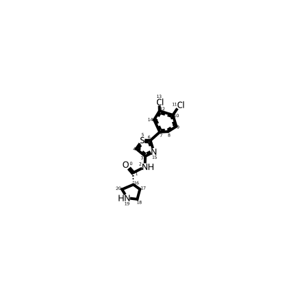 O=C(Nc1csc(-c2ccc(Cl)c(Cl)c2)n1)[C@@H]1CCNC1